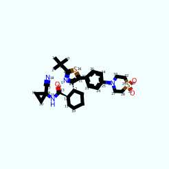 CC(C)(C)c1nc([C@@H]2CCCC[C@H]2C(=O)NC2(C#N)CC2)c(-c2ccc(N3CCS(=O)(=O)CC3)cc2)s1